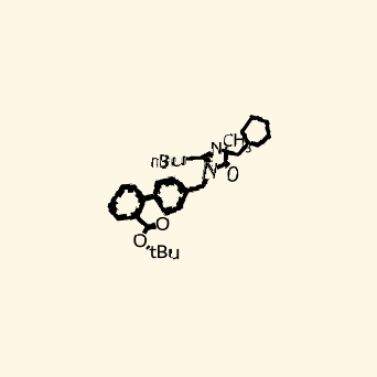 CCCCC1=N[C@@](C)(CC2CCCCC2)C(=O)N1Cc1ccc(-c2ccccc2C(=O)OC(C)(C)C)cc1